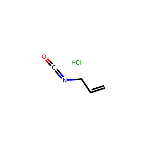 C=CCN=C=O.Cl